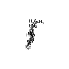 CC(C)CCC(=O)NCCc1ccc(S(=O)(=O)NC(=O)c2ccc(OC(=O)OCc3ccccc3)nc2)cc1